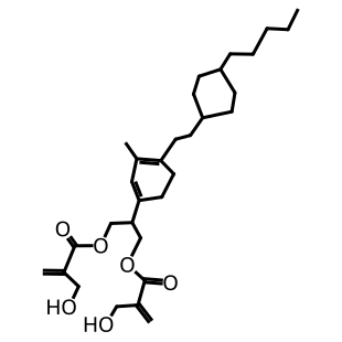 C=C(CO)C(=O)OCC(COC(=O)C(=C)CO)C1=CC(C)=C(CCC2CCC(CCCCC)CC2)CC1